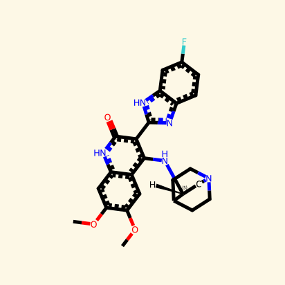 COc1cc2[nH]c(=O)c(-c3nc4ccc(F)cc4[nH]3)c(N[C@@H]3CN4CCC3CC4)c2cc1OC